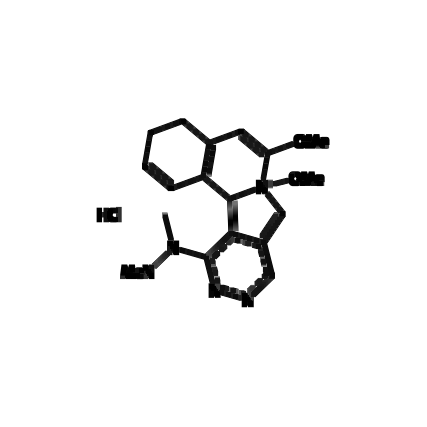 CNN(C)c1nncc2c1=C1C3=C(C=C(OC)[N+]1(OC)C=2)CCC=C3.Cl